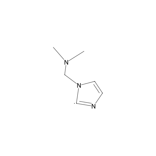 CN(C)Cn1[c]ncc1